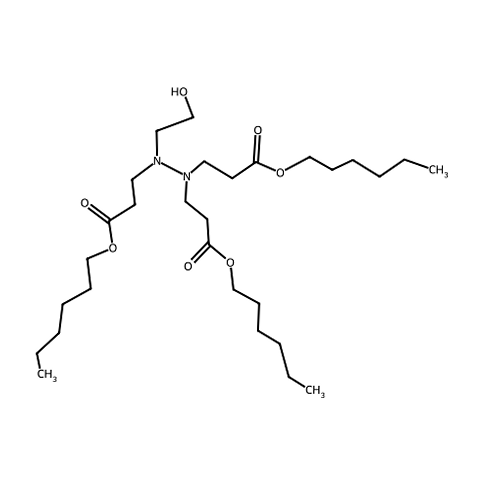 CCCCCCOC(=O)CCN(CCO)N(CCC(=O)OCCCCCC)CCC(=O)OCCCCCC